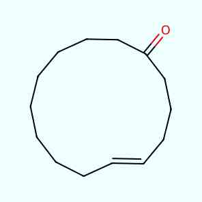 O=C1CCC/C=C/CCCCCCCC1